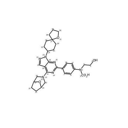 O=C(O)N(CCO)c1ccc(-c2nc(N3CC4CCC(C3)O4)c3cnn(C4CCC5(CCCO5)CC4)c3n2)cc1